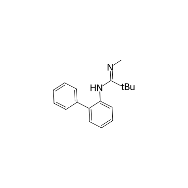 C/N=C(/Nc1ccccc1-c1ccccc1)C(C)(C)C